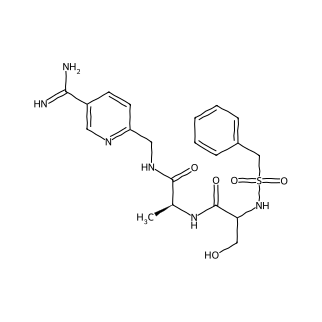 C[C@H](NC(=O)C(CO)NS(=O)(=O)Cc1ccccc1)C(=O)NCc1ccc(C(=N)N)cn1